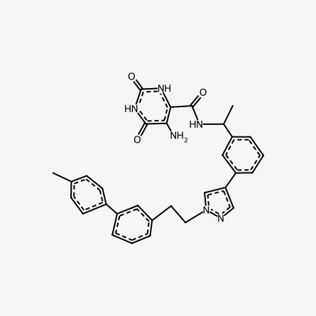 Cc1ccc(-c2cccc(CCn3cc(-c4cccc(C(C)NC(=O)c5[nH]c(=O)[nH]c(=O)c5N)c4)cn3)c2)cc1